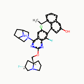 CCc1cccc2cc(O)cc(-c3c(Cl)cc4c(N5CC6CCC(C5)N6)nc(OC[C@@]56CCCN5C[C@H](F)C6)nc4c3F)c12